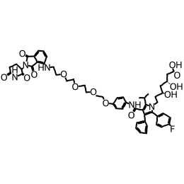 CC(C)c1c(C(=O)Nc2ccc(OCCOCCOCCOCCNc3cccc4c3C(=O)N(C3CCC(=O)NC3=O)C4=O)cc2)c(-c2ccccc2)c(-c2ccc(F)cc2)n1CC[C@@H](O)C[C@@H](O)CC(=O)O